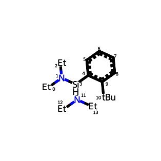 CCN(CC)[SiH](c1ccccc1C(C)(C)C)N(CC)CC